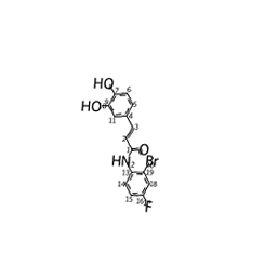 O=C(C=Cc1ccc(O)c(O)c1)Nc1ccc(F)cc1Br